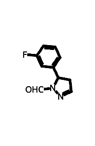 O=CN1N=CCC1c1cccc(F)c1